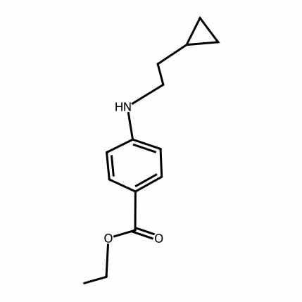 CCOC(=O)c1ccc(NCCC2CC2)cc1